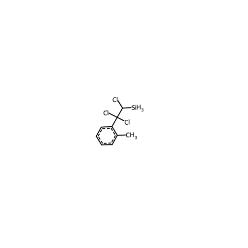 Cc1ccccc1C(Cl)(Cl)C([SiH3])Cl